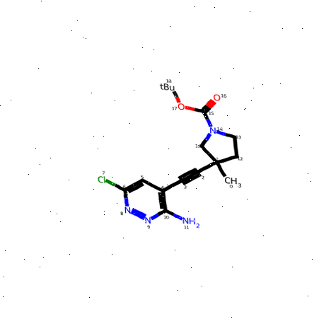 CC1(C#Cc2cc(Cl)nnc2N)CCN(C(=O)OC(C)(C)C)C1